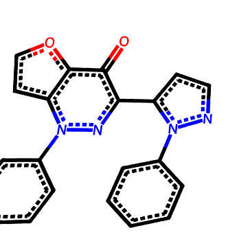 O=c1c(-c2ccnn2-c2ccccc2)nn(-c2ccc(I)cc2)c2ccoc12